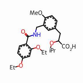 CCOc1ccc(C(=O)NCc2cc(CC(OC(C)C)C(=O)O)ccc2OC)c(OCC)c1